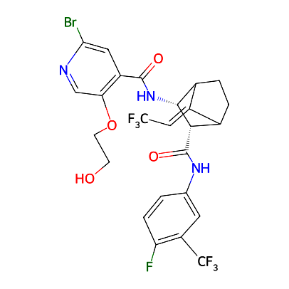 O=C(N[C@@H]1C2CCC(/C2=C/C(F)(F)F)[C@@H]1C(=O)Nc1ccc(F)c(C(F)(F)F)c1)c1cc(Br)ncc1OCCO